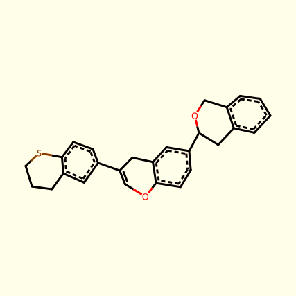 C1=C(c2ccc3c(c2)CCCS3)Cc2cc(C3Cc4ccccc4CO3)ccc2O1